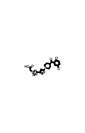 O=C(O)Cn1nnc(-c2cc(N3CCC(C(=O)c4cc(Cl)ccc4Cl)CC3)no2)n1